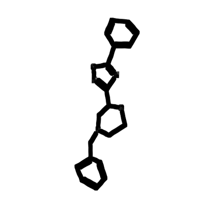 c1ccc(CN2CCOC(c3noc(-c4ccccc4)n3)C2)cc1